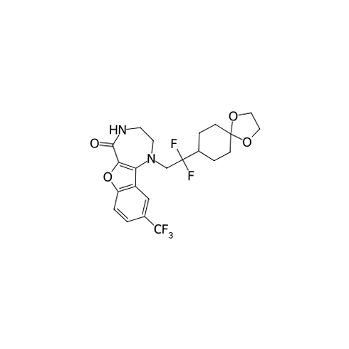 O=C1NCCN(CC(F)(F)C2CCC3(CC2)OCCO3)c2c1oc1ccc(C(F)(F)F)cc21